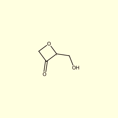 O=C1CO[C]1CO